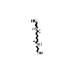 O=C(CCCCC(=O)NCCCO)NCCCO